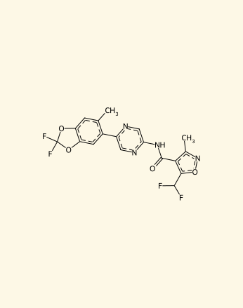 Cc1cc2c(cc1-c1cnc(NC(=O)c3c(C)noc3C(F)F)cn1)OC(F)(F)O2